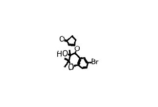 CC1(C)Oc2ccc(Br)cc2C(OC2=CC(=O)CC2)C1(C)O